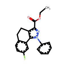 CCOC(=O)c1nn(-c2ccccc2)c2c1CCc1ccc(F)cc1-2